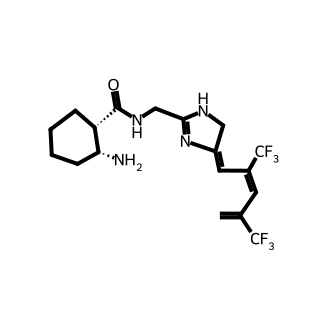 C=C(/C=C(\C=C1/CNC(CNC(=O)[C@H]2CCCC[C@H]2N)=N1)C(F)(F)F)C(F)(F)F